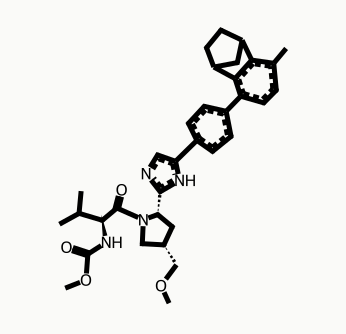 COC[C@H]1C[C@@H](c2ncc(-c3ccc(-c4ccc(C)c5c4C4CCC5C4)cc3)[nH]2)N(C(=O)[C@@H](NC(=O)OC)C(C)C)C1